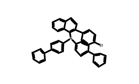 CCc1ccc(-c2ccc3ccccc3c2N(c2ccc(-c3ccccc3)cc2)c2ccc(-c3ccccc3)cc2)cc1